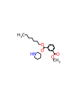 C1CCNCC1.CCCCCCCOC(=O)c1cccc(C(=O)OC)c1